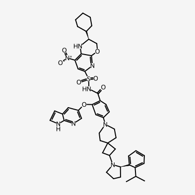 CC(C)c1ccccc1[C@H]1CCCN1C1CC2(CCN(c3ccc(C(=O)NS(=O)(=O)c4cc([N+](=O)[O-])c5c(n4)OC[C@H](C4CCCCC4)N5)c(Oc4cnc5[nH]ccc5c4)c3)CC2)C1